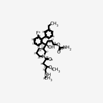 CCc1cccc(-c2c(F)cccc2[C@](O)(CCCOC(N)=O)[C@@H]2CCCN(C(=O)CC(CNC)OC)C2)c1